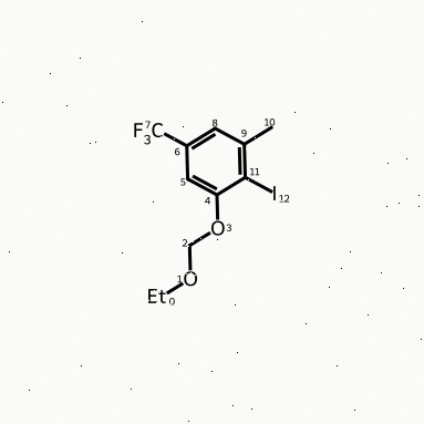 CCOCOc1cc(C(F)(F)F)cc(C)c1I